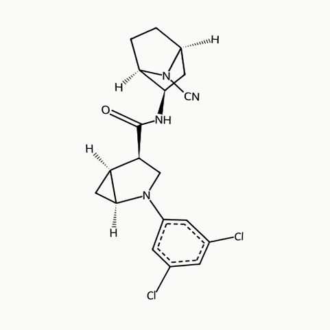 N#CN1[C@H]2CC[C@@H]1[C@H](NC(=O)[C@H]1CN(c3cc(Cl)cc(Cl)c3)[C@H]3C[C@@H]13)C2